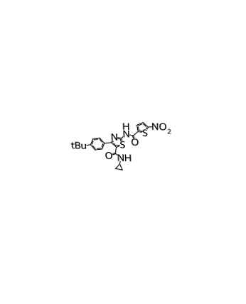 CC(C)(C)c1ccc(-c2nc(NC(=O)c3ccc([N+](=O)[O-])s3)sc2C(=O)NC2CC2)cc1